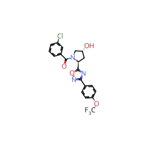 O=C(c1cccc(Cl)c1)N1C[C@H](O)C[C@H]1c1nc(-c2ccc(OC(F)(F)F)cc2)no1